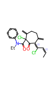 C=C1CCC(=C)C(Cl)(C(=O)N(CC)c2ccccc2)C(=O)/C1=C(Cl)/C=C\C